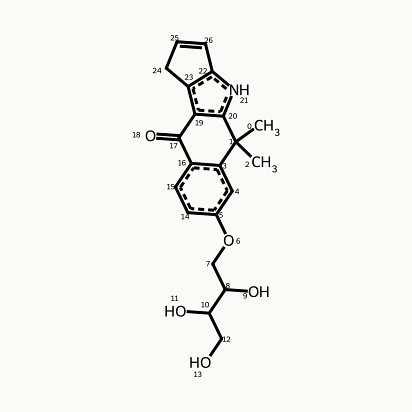 CC1(C)c2cc(OCC(O)C(O)CO)ccc2C(=O)c2c1[nH]c1c2CC=C1